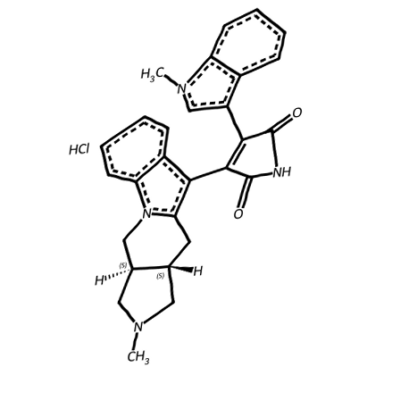 CN1C[C@H]2Cc3c(C4=C(c5cn(C)c6ccccc56)C(=O)NC4=O)c4ccccc4n3C[C@@H]2C1.Cl